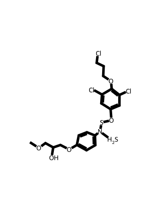 COCC(O)COc1ccc(N(C)SOc2cc(Cl)c(OCCCCl)c(Cl)c2)cc1.S